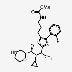 COC(=O)NCCCc1nc([C@@H](C)N(C(=O)[C@H]2CNCCO2)C2CC2)sc1-c1ccccc1F